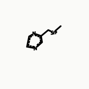 [CH3][Sn][CH2]c1cnccn1